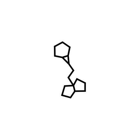 C1CCC2C(C1)C2CCC12CCCC1CCC2